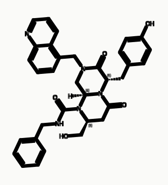 O=C1[C@H](Cc2ccc(O)cc2)N2C(=O)C[C@@H](CO)N(C(=O)NCc3ccccc3)[C@H]2CN1Cc1cccc2ncccc12